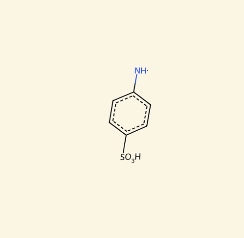 [NH]c1ccc(S(=O)(=O)O)cc1